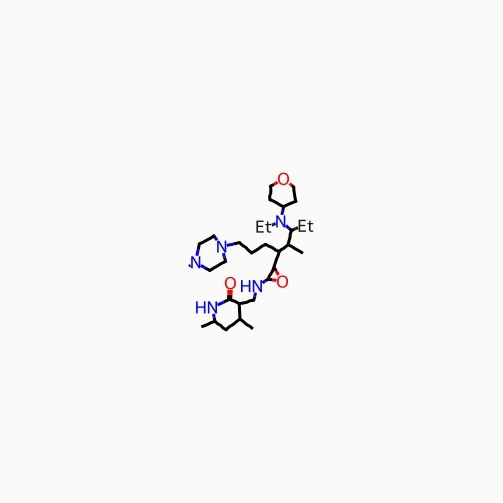 CCC(C(C)C(CCCN1CCN(C)CC1)C1OC1NCC1C(=O)NC(C)CC1C)N(CC)C1CCOCC1